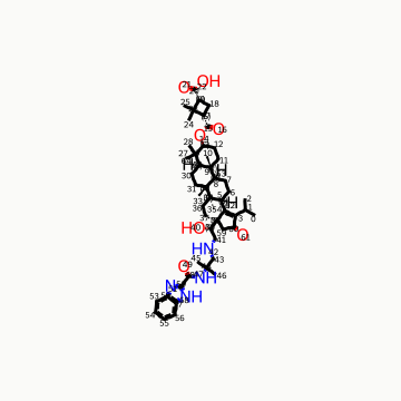 CC(C)C1=C2[C@H]3CC[C@@H]4[C@@]5(C)CC[C@H](OC(=O)[C@H]6C[C@@H](C(=O)O)C6(C)C)C(C)(C)[C@@H]5CC[C@@]4(C)[C@]3(C)CC[C@@]2([C@@H](O)CNCC(C)(C)NC(=O)c2nc3ccccc3[nH]2)CC1=O